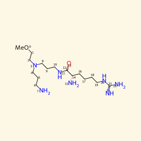 COCCN(CCCN)CCCNC(=O)[C@@H](N)CCCCNC(=N)N